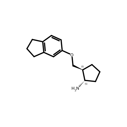 N[C@H]1CCC[C@@H]1COc1ccc2c(c1)CCC2